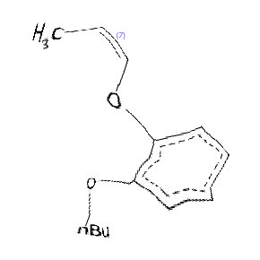 C/C=C\Oc1ccccc1OCCCC